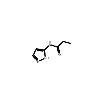 CCC(=O)Nc1ccn[nH]1